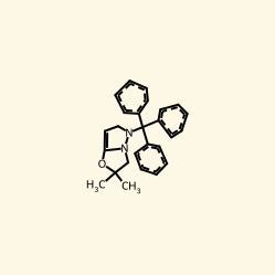 CC1(C)CN2C(=CCN2C(c2ccccc2)(c2ccccc2)c2ccccc2)O1